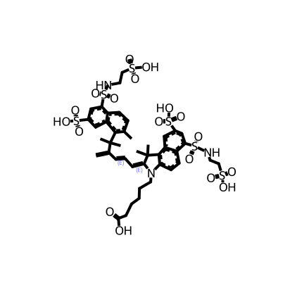 C=C(/C=C/C=C1/N(CCCCCC(=O)O)c2ccc3c(S(=O)(=O)NCCS(=O)(=O)O)cc(S(=O)(=O)O)cc3c2C1(C)C)C(C)(C)c1c(C)ccc2c(S(=O)(=O)NCCS(=O)(=O)O)cc(S(=O)(=O)O)cc12